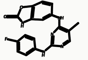 Cc1cnc(Nc2ccc(F)cc2)nc1Nc1ccc2oc(=O)[nH]c2c1